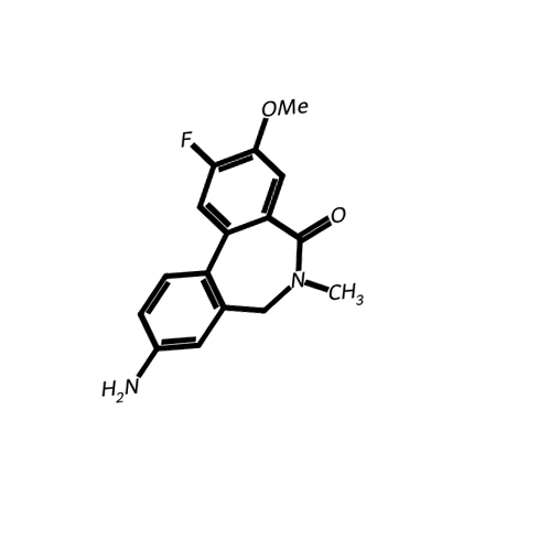 COc1cc2c(cc1F)-c1ccc(N)cc1CN(C)C2=O